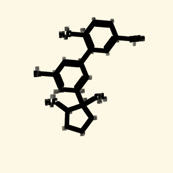 CCc1cc(-c2cc(NC)ccc2C)cc(C2(C)CCCC2C)n1